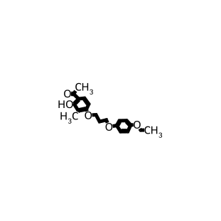 CCOc1ccc(OCCCOc2ccc(C(C)=O)c(O)c2C)cc1